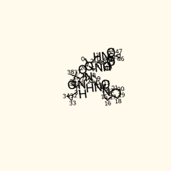 C=CC1CC1(NC(=O)[C@@H]1C[C@@H](NC(=O)n2ccc3ccccc32)CN1C(=O)[C@@H](NC(=O)CC1CC1)C(C)(C)C)C(=O)NS(=O)(=O)C1CC1